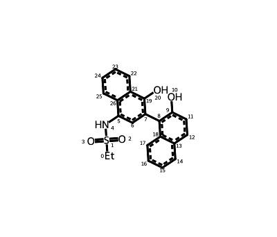 CCS(=O)(=O)Nc1cc(-c2c(O)ccc3ccccc23)c(O)c2ccccc12